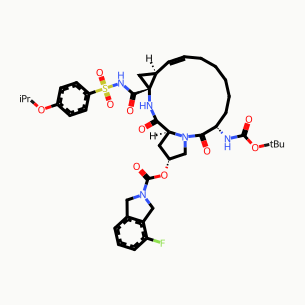 CC(C)Oc1ccc(S(=O)(=O)NC(=O)[C@@]23C[C@H]2/C=C\CCCCC[C@H](NC(=O)OC(C)(C)C)C(=O)N2C[C@H](OC(=O)N4Cc5cccc(F)c5C4)C[C@H]2C(=O)N3)cc1